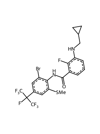 CSc1cc(C(F)(C(F)(F)F)C(F)(F)F)cc(Br)c1NC(=O)c1cccc(NCC2CC2)c1F